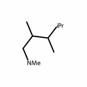 CNCC(C)C(C)C(C)C